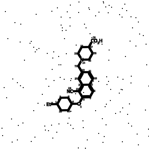 CCC1CCC(Oc2ccc3ccc(CN4CCC(C(=O)O)CC4)cc3c2C#N)CC1